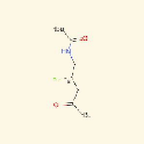 CC(C)(C)C(=O)C[C@H](F)CNC(=O)C(C)(C)C